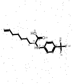 C=CCCCCC[C@H](Nc1ccc(C(F)(F)F)cc1)C(=O)O